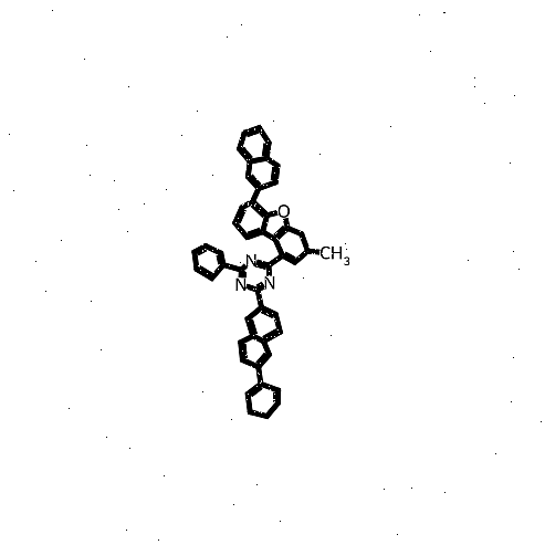 CC1C=C(c2nc(-c3ccccc3)nc(-c3ccc4cc(C5=CCCC=C5)ccc4c3)n2)c2c(oc3c(-c4ccc5ccccc5c4)cccc23)C1